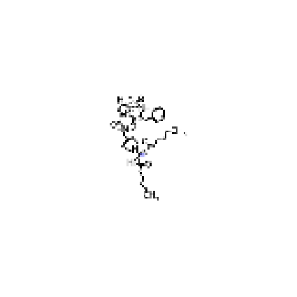 CCCCCC(=O)/N=C(/NC(=O)CCCCC)N1CC=C(CNC(=O)[C@@H]2CCCN2C(=O)[C@@H](Cc2ccccc2)NS(C)(=O)=O)CC1